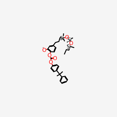 CCC[Si](C)(C)O[Si](C)(C)O[Si](C)(C)CCCc1ccc(OC(=O)Oc2ccc(C(C)(C)c3ccccc3)cc2)c(OC)c1